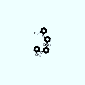 Cc1ccccc1Oc1cccc(S(=O)(=O)c2cccc(Oc3ccccc3C)c2)c1